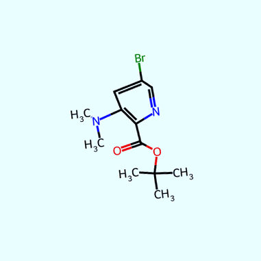 CN(C)c1cc(Br)cnc1C(=O)OC(C)(C)C